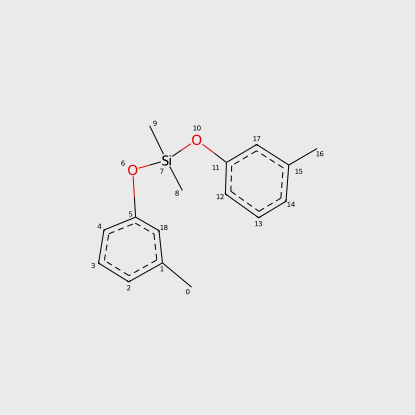 Cc1cccc(O[Si](C)(C)Oc2cccc(C)c2)c1